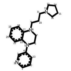 c1cncc(N2CCN(CCCN3CCCC3)c3ccccc32)c1